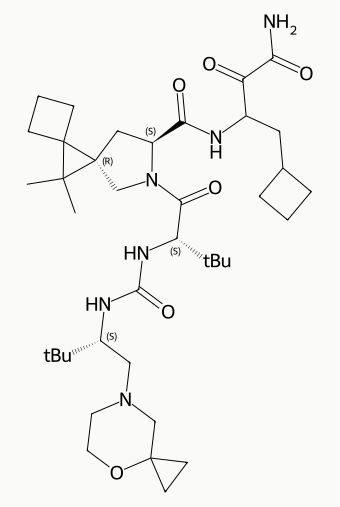 CC(C)(C)[C@H](NC(=O)N[C@H](CN1CCOC2(CC2)C1)C(C)(C)C)C(=O)N1C[C@]2(C[C@H]1C(=O)NC(CC1CCC1)C(=O)C(N)=O)C(C)(C)C21CCC1